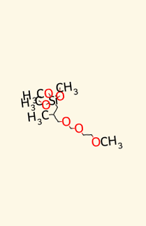 COCCOCOCC(C)C[Si](OC)(OC)OC